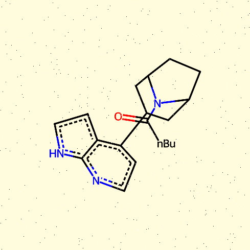 CCCCC(=O)N1C2CCC1CC(c1ccnc3[nH]ccc13)C2